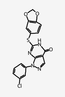 O=c1[nH]c(Sc2ccc3c(c2)OCO3)nc2c1cnn2-c1cccc(Cl)c1